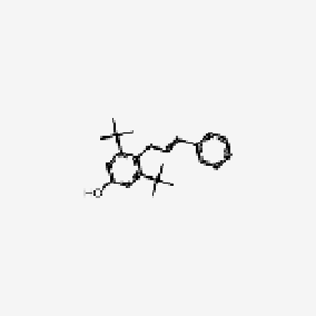 CC(C)(C)c1cc(O)cc(C(C)(C)C)c1C/C=C/c1ccccc1